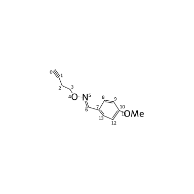 C#CCCON=[C]c1ccc(OC)cc1